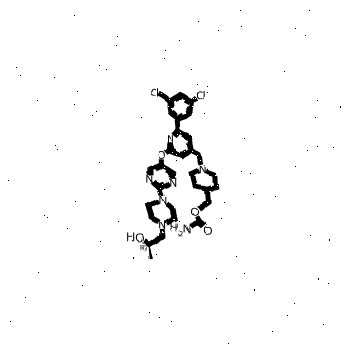 C[C@@H](O)CN1CCN(c2ncc(Oc3cc(CN4CCC(COC(N)=O)CC4)cc(-c4cc(Cl)cc(Cl)c4)n3)cn2)CC1